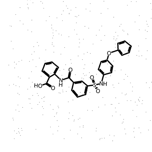 O=C(Nc1ccccc1C(=O)O)c1cccc(S(=O)(=O)Nc2ccc(Oc3ccccc3)cc2)c1